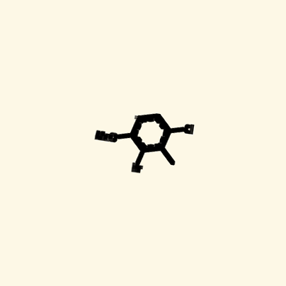 COc1[c]cc(Cl)c(C)c1Br